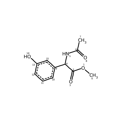 COC(=O)C(NC(C)=O)c1cccc(O)c1